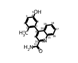 Cc1ccc(O)cc1-c1cc(C(N)=O)nc2ccccc12